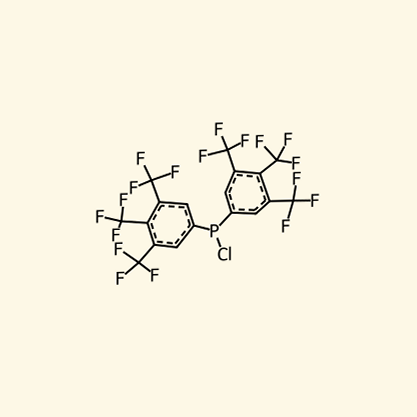 FC(F)(F)c1cc(P(Cl)c2cc(C(F)(F)F)c(C(F)(F)F)c(C(F)(F)F)c2)cc(C(F)(F)F)c1C(F)(F)F